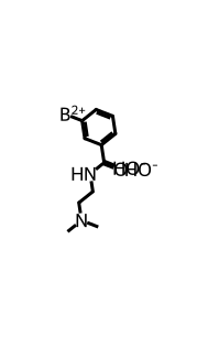 [B+2]c1cccc(C(=O)NCCN(C)C)c1.[OH-].[OH-]